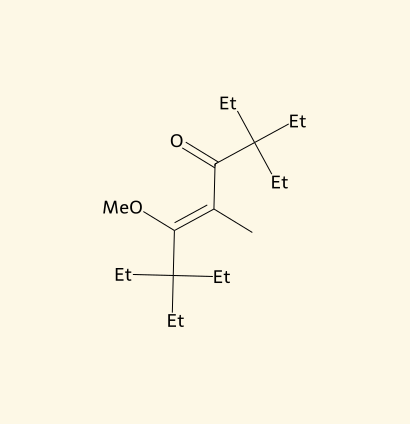 CCC(CC)(CC)C(=O)/C(C)=C(\OC)C(CC)(CC)CC